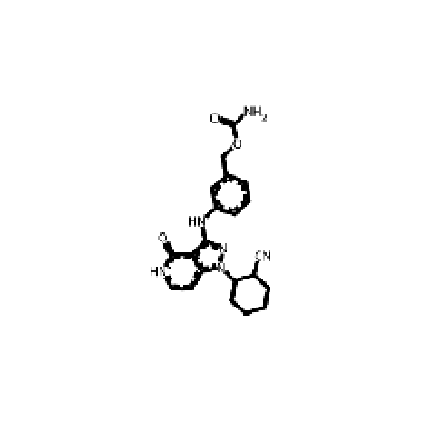 N#CC1CCCCC1n1nc(Nc2cccc(COC(N)=O)c2)c2c(=O)[nH]ccc21